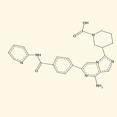 Nc1nc(-c2ccc(C(=O)Nc3ccccn3)cc2)cn2c(C3CCCN(C(=O)O)C3)ncc12